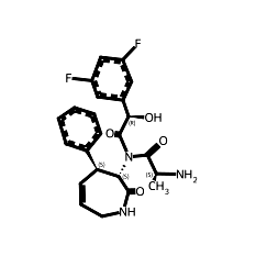 C[C@H](N)C(=O)N(C(=O)[C@H](O)c1cc(F)cc(F)c1)[C@@H]1C(=O)NCC=C[C@H]1c1ccccc1